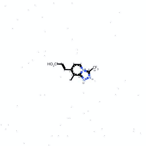 Cc1c(/C=C/C(=O)O)ccn2c(C(F)(F)F)nnc12